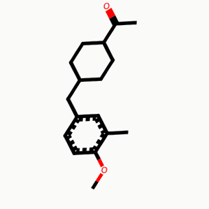 COc1ccc(CC2CCC(C(C)=O)CC2)cc1C